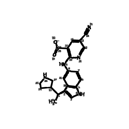 CC(c1c[nH]c2ccc(Nc3ncc(C#N)cc3[N+](=O)[O-])cc12)C1CCNC1